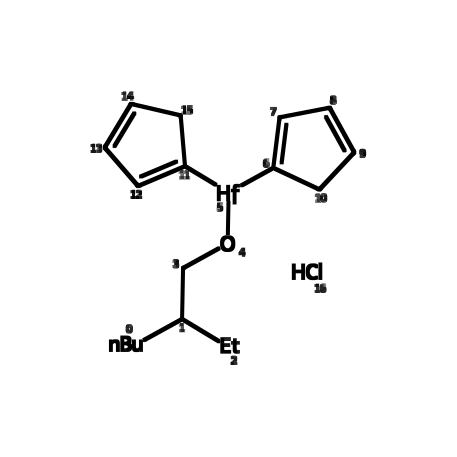 CCCCC(CC)C[O][Hf]([C]1=CC=CC1)[C]1=CC=CC1.Cl